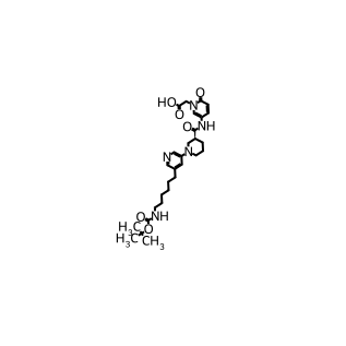 CC(C)(C)OC(=O)NCCCCCCc1cncc(N2CCC[C@H](C(=O)Nc3ccc(=O)n(CC(=O)O)c3)C2)c1